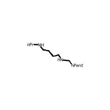 [CH2]CCNCCCCNCCCCCC